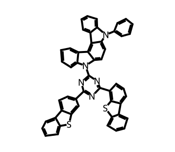 c1ccc(-n2c3ccccc3c3c4c5ccccc5n(-c5nc(-c6ccc7c(c6)sc6ccccc67)nc(-c6cccc7c6sc6ccccc67)n5)c4ccc32)cc1